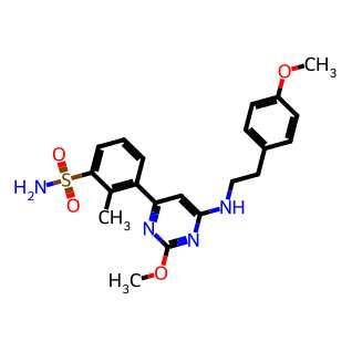 COc1ccc(CCNc2cc(-c3cccc(S(N)(=O)=O)c3C)nc(OC)n2)cc1